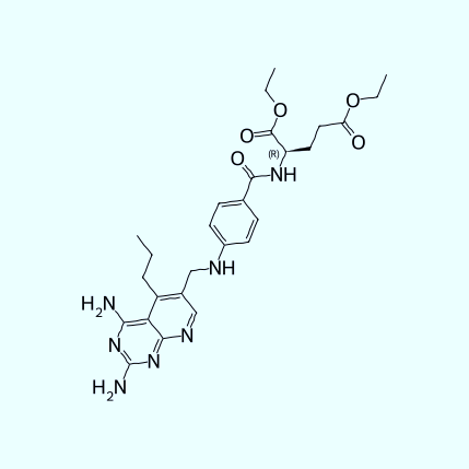 CCCc1c(CNc2ccc(C(=O)N[C@H](CCC(=O)OCC)C(=O)OCC)cc2)cnc2nc(N)nc(N)c12